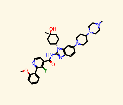 COc1ccccc1-c1nccc(C(=O)Nc2nc3ccc(N4CCC(N5CCN(C)CC5)CC4)cc3n2[C@H]2CC[C@@](C)(O)CC2)c1F